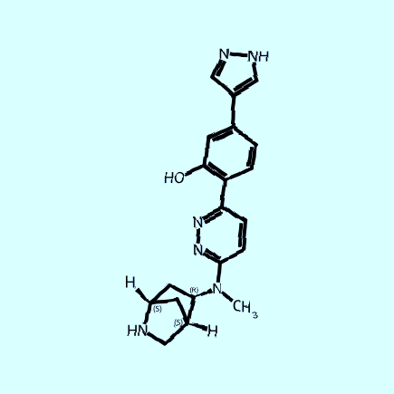 CN(c1ccc(-c2ccc(-c3cn[nH]c3)cc2O)nn1)[C@@H]1C[C@@H]2C[C@H]1CN2